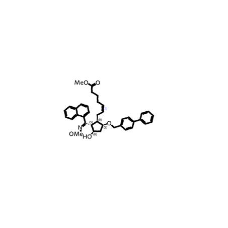 CON=C(c1cccc2ccccc12)[C@@H]1[C@@H](C/C=C\CCCC(=O)OC)[C@@H](OCc2ccc(-c3ccccc3)cc2)C[C@H]1O